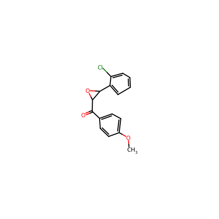 COc1ccc(C(=O)C2OC2c2ccccc2Cl)cc1